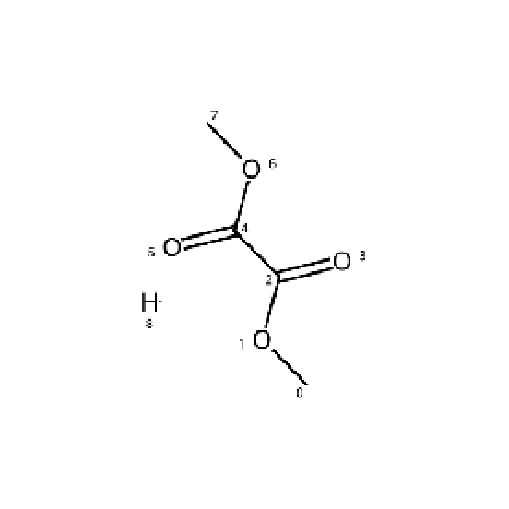 COC(=O)C(=O)OC.[H]